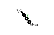 CC#Cc1ccc(-c2ccc(-c3ccc(CCCCCC)cc3)c(F)c2F)cc1